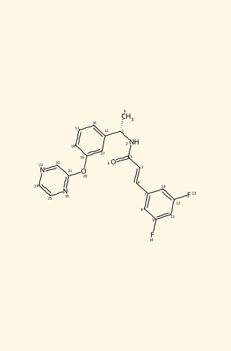 C[C@H](NC(=O)/C=C/c1cc(F)cc(F)c1)c1cccc(Oc2cnccn2)c1